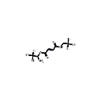 CCC(O)(CC)CNC(=O)/C=C/C(=O)OC(N)C(O)(CC)CC